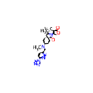 CC1=C(N2C(=O)[C@]3(CC[C@H](N(C)Cc4ccc(-n5cnnn5)nn4)CC3)C[C@H]2C)COC1=O